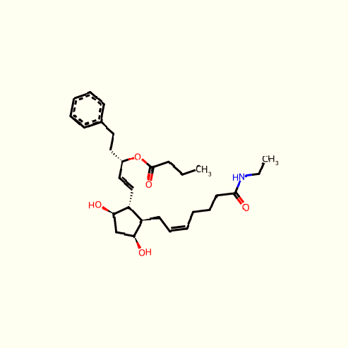 CCCC(=O)O[C@H](/C=C/[C@@H]1[C@@H](C/C=C\CCCC(=O)NCC)[C@@H](O)C[C@H]1O)CCc1ccccc1